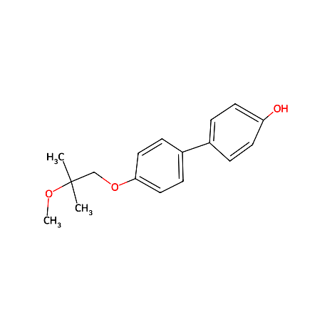 COC(C)(C)COc1ccc(-c2ccc(O)cc2)cc1